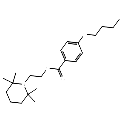 CCCCOc1ccc(C(=O)OCCN2C(C)(C)CCCC2(C)C)cc1